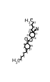 CCCCCCC1CCC(C(=O)OC2CCC(C#N)(CCCCC)CC2)CC1